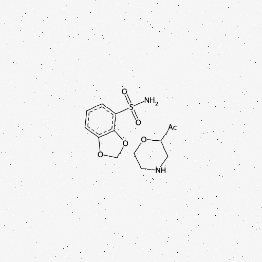 CC(=O)C1CNCCO1.NS(=O)(=O)c1cccc2c1OCO2